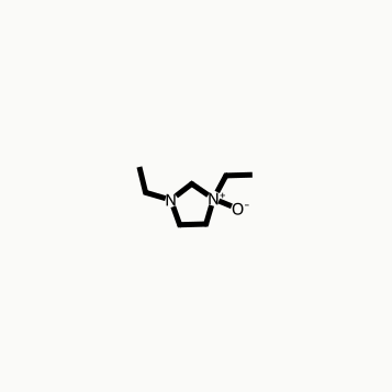 CCN1CC[N+]([O-])(CC)C1